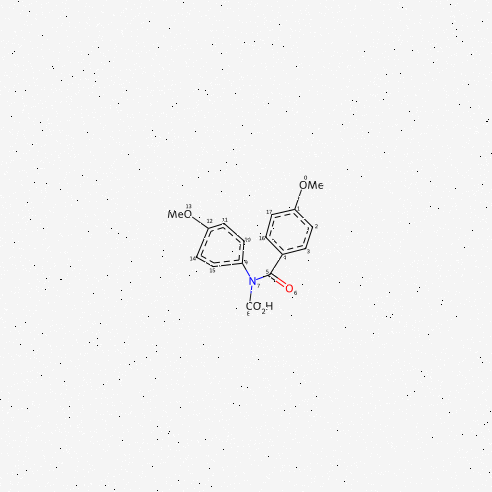 COc1ccc(C(=O)N(C(=O)O)c2ccc(OC)cc2)cc1